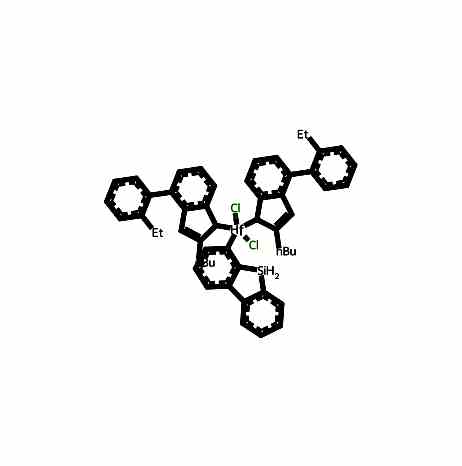 CCCCC1=Cc2c(-c3ccccc3CC)cccc2[CH]1[Hf]([Cl])([Cl])([c]1cccc2c1[SiH2]c1ccccc1-2)[CH]1C(CCCC)=Cc2c(-c3ccccc3CC)cccc21